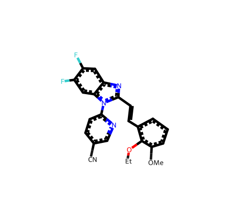 CCOc1c(/C=C/c2nc3cc(F)c(F)cc3n2-c2ccc(C#N)cn2)cccc1OC